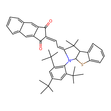 CC(C)(C)c1cc(C(C)(C)C)c(N2/C(=C/C=C3C(=O)c4cc5ccccc5cc4C3=O)C(C)(C)C3c4ccccc4SC32)c(C(C)(C)C)c1